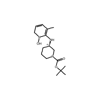 CC1=C(N[C@@H]2CCCN(C(=O)OC(C)(C)C)C2)N(O)CC=C1